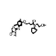 Cc1cc2c(cc1OCCCC(=O)N(CCO)C1CCCCC1)N=C1NC(=O)CN1C2